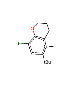 Cc1c(C(C)(C)C)cc(F)c2c1CCCO2